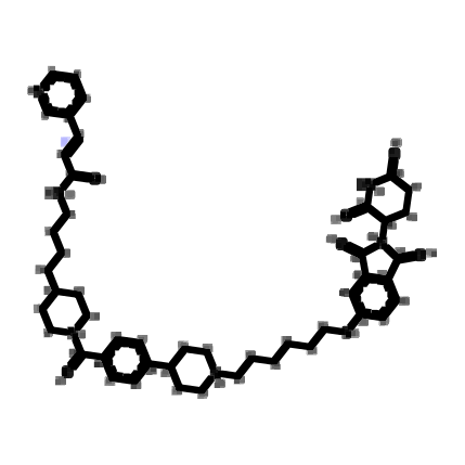 O=C(/C=C/c1cccnc1)NCCCCC1CCN(C(=O)c2ccc(C3CCN(CCCCCCSc4ccc5c(c4)C(=O)N(C4CCC(=O)NC4=O)C5=O)CC3)cc2)CC1